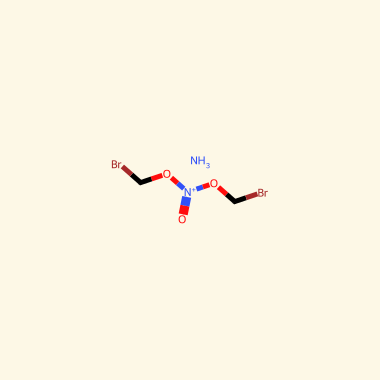 N.O=[N+](OCBr)OCBr